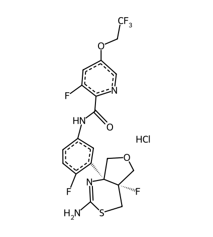 Cl.NC1=N[C@@]2(c3cc(NC(=O)c4ncc(OCC(F)(F)F)cc4F)ccc3F)COC[C@@]2(F)CS1